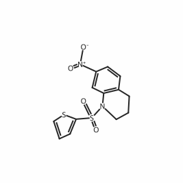 O=[N+]([O-])c1ccc2c(c1)N(S(=O)(=O)c1cccs1)CCC2